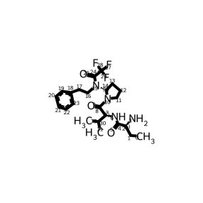 CC[C@H](N)C(=O)N[C@H](C(=O)N1CCC[C@H]1N(CCc1ccccc1)C(=O)C(F)(F)F)C(C)C